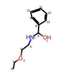 CCOCCNC(O)c1ccccc1